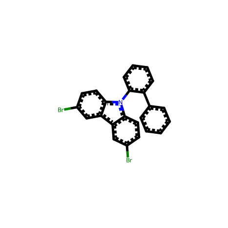 Brc1ccc2c(c1)c1cc(Br)ccc1n2-c1ccccc1-c1ccccc1